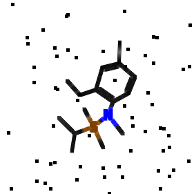 CCc1cc(C)ccc1N(C)S(C)(C)C(C)C